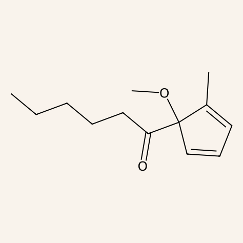 CCCCCC(=O)C1(OC)C=CC=C1C